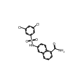 NC(=O)c1cccc2cc(NS(=O)(=O)c3cc(Cl)cc(Cl)c3)ccc12